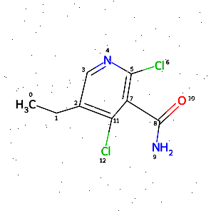 CCc1cnc(Cl)c(C(N)=O)c1Cl